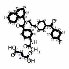 CC(=O)Nc1ccc(C(=O)N(CCN2CCC(C(=O)c3ccc(F)cc3)CC2)c2cccc3ccccc23)cc1.O=C(O)/C=C/C(=O)O